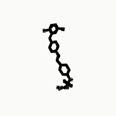 CNS(=O)(=O)NC1CCC(CCN2CCC(Cc3cc(Cl)ccc3Br)CC2)CC1